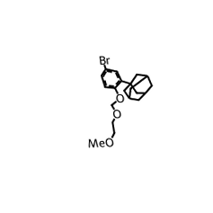 COCCOCOc1ccc(Br)cc1C12CC3CC(CC(C3)C1)C2